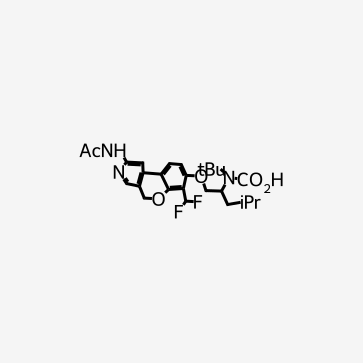 CC(=O)Nc1cc2c(cn1)COc1c-2ccc(OCC(CC(C)C)N(C(=O)O)C(C)(C)C)c1C(F)F